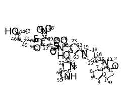 CC(C)c1ccccc1[C@@H]1COCCN1C1CC2(CCN(c3ccc(C(=O)NS(=O)(=O)c4cc5c(c([N+](=O)[O-])c4)S[C@@H]([C@H]4CC[C@](C)(O)CC4)CO5)c(Oc4cnc5[nH]ccc5c4)c3)CC2)C1